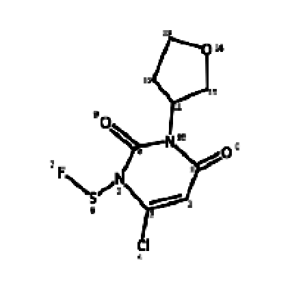 O=c1cc(Cl)n(SF)c(=O)n1C1CCOC1